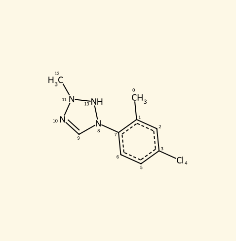 Cc1cc(Cl)ccc1N1C=NN(C)N1